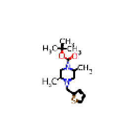 CC1CN(Cc2cccs2)[C@@H](C)CN1C(=O)OC(C)(C)C